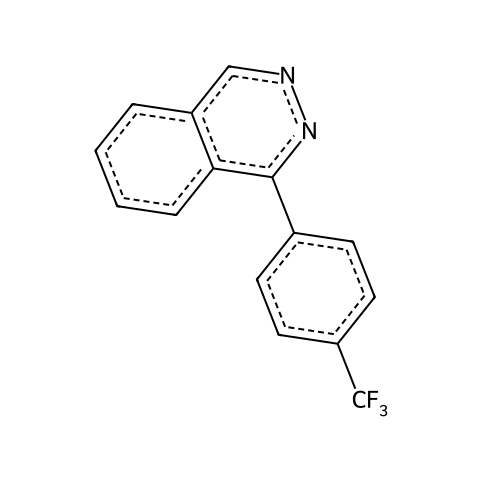 FC(F)(F)c1ccc(-c2nncc3ccccc23)cc1